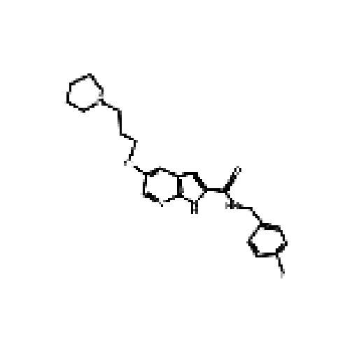 O=C(NCc1ccc(F)cc1)c1cc2cc(OCCCN3CCCCC3)cnc2[nH]1